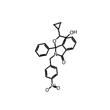 O=C1c2ccccc2C(OC(CO)C2CC2)(c2ccccc2)N1Cc1ccc([N+](=O)[O-])cc1